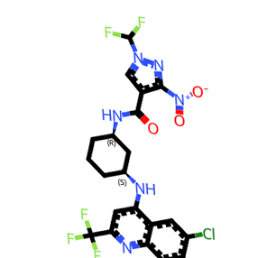 O=C(N[C@@H]1CCC[C@H](Nc2cc(C(F)(F)F)nc3ccc(Cl)cc23)C1)c1cn(C(F)F)nc1[N+](=O)[O-]